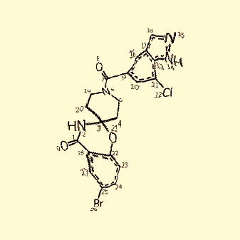 O=C1NC2(CCN(C(=O)c3cc(Cl)c4[nH]ncc4c3)CC2)Oc2ccc(Br)cc21